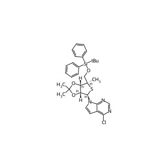 CC1(C)O[C@H]2[C@H](n3ccc4c(Cl)ncnc43)S[C@](C)(CO[Si](c3ccccc3)(c3ccccc3)C(C)(C)C)[C@H]2O1